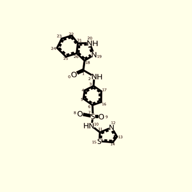 O=C(Nc1ccc(S(=O)(=O)Nc2nccs2)cc1)c1n[nH]c2ccccc12